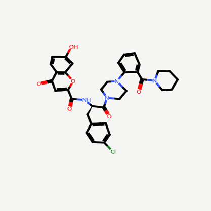 O=C(N[C@H](Cc1ccc(Cl)cc1)C(=O)N1CCN(c2ccccc2C(=O)N2CCCCC2)CC1)c1cc(=O)c2ccc(O)cc2o1